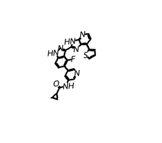 O=C(Nc1cncc(-c2ccc3[nH]nc(-c4nc5c(-c6cccs6)ccnc5[nH]4)c3c2F)c1)C1CC1